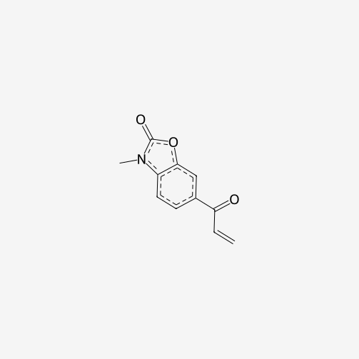 C=CC(=O)c1ccc2c(c1)oc(=O)n2C